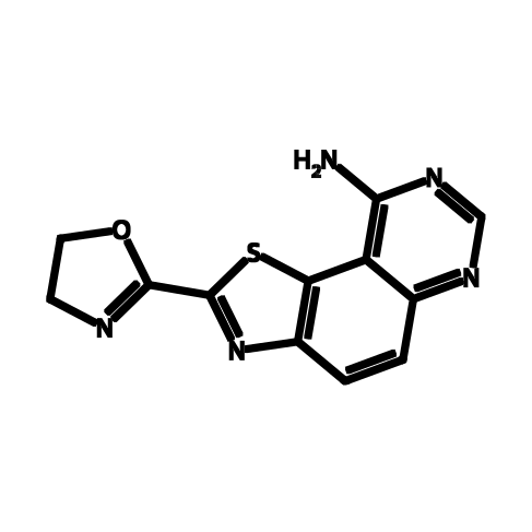 Nc1ncnc2ccc3nc(C4=NCCO4)sc3c12